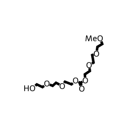 COCCOCCOCCOC(=O)OCCOCCOCCO